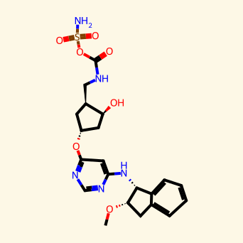 CO[C@H]1Cc2ccccc2[C@H]1Nc1cc(O[C@@H]2C[C@@H](CNC(=O)OS(N)(=O)=O)[C@@H](O)C2)ncn1